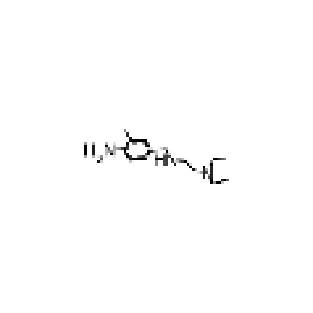 CCN(CC)CCNCc1ccc(N)c(C)c1